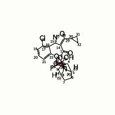 O=C(O[C@H]1C[C@H]2CC[C@@H](C1)N2C(=O)O)c1c(-c2c(Cl)cccc2OC(F)F)noc1C1CC1